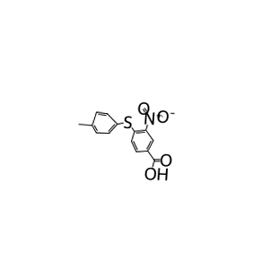 Cc1ccc(Sc2ccc(C(=O)O)cc2[N+](=O)[O-])cc1